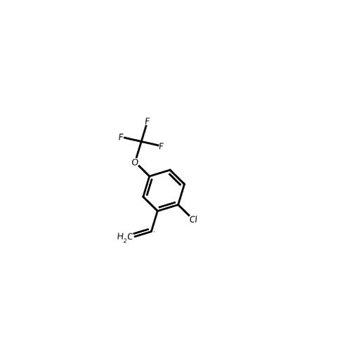 C=[C]c1cc(OC(F)(F)F)ccc1Cl